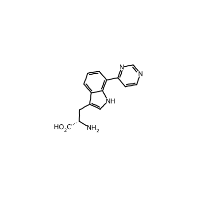 N[C@@H](Cc1c[nH]c2c(-c3ccncn3)cccc12)C(=O)O